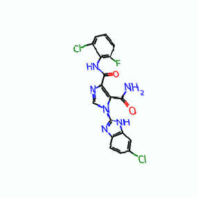 NC(=O)c1c(C(=O)Nc2c(F)cccc2Cl)ncn1-c1nc2ccc(Cl)cc2[nH]1